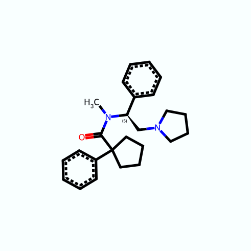 CN(C(=O)C1(c2ccccc2)CCCC1)[C@H](CN1CCCC1)c1ccccc1